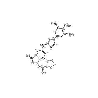 CCn1nc(C)c2c(N3CCCC3CO)nc(Nc3cn(-c4cc(OC)c(OC)c(OC)c4)cn3)nc21